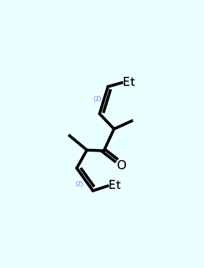 CC/C=C\C(C)C(=O)C(C)/C=C\CC